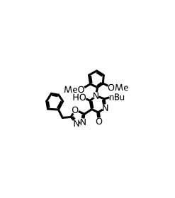 CCCCc1nc(=O)c(-c2nnc(Cc3ccccc3)o2)c(O)n1-c1c(OC)cccc1OC